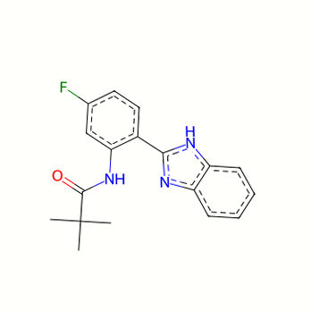 CC(C)(C)C(=O)Nc1cc(F)ccc1-c1nc2ccccc2[nH]1